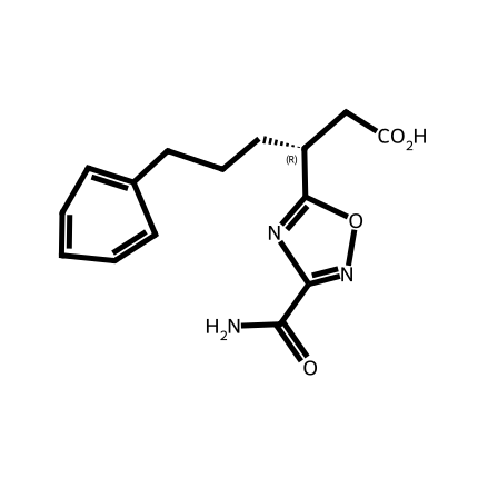 NC(=O)c1noc([C@H](CCCc2ccccc2)CC(=O)O)n1